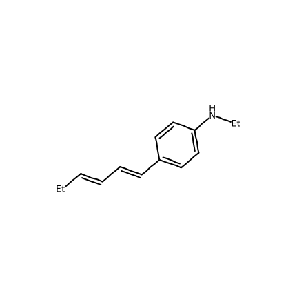 [CH2]CC=CC=Cc1ccc(NCC)cc1